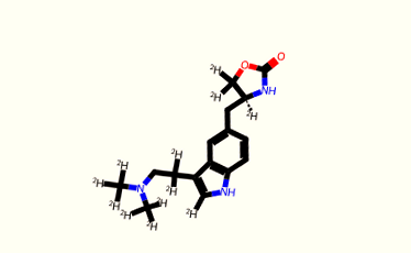 [2H]c1[nH]c2ccc(C[C@]3([2H])NC(=O)OC3([2H])[2H])cc2c1C([2H])([2H])CN(C([2H])([2H])[2H])C([2H])([2H])[2H]